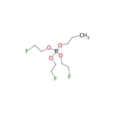 CCCO[B-](OCCF)(OCCF)OCCF